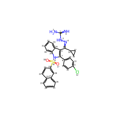 N=C(N)N/N=C(\c1c(-c2ccc(Cl)cc2)n(S(=O)(=O)c2ccc3ccccc3c2)c2ccccc12)C1CC1